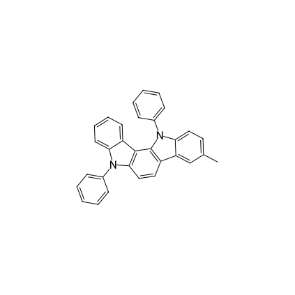 Cc1ccc2c(c1)c1ccc3c(c4ccccc4n3-c3ccccc3)c1n2-c1ccccc1